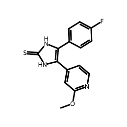 COc1cc(-c2[nH]c(=S)[nH]c2-c2ccc(F)cc2)ccn1